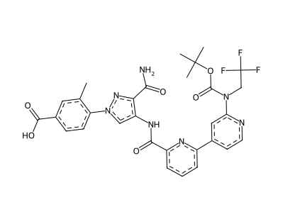 Cc1cc(C(=O)O)ccc1-n1cc(NC(=O)c2cccc(-c3ccnc(N(CC(F)(F)F)C(=O)OC(C)(C)C)c3)n2)c(C(N)=O)n1